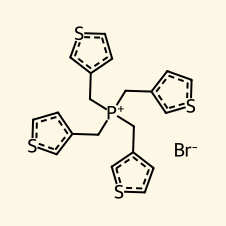 [Br-].c1cc(C[P+](Cc2ccsc2)(Cc2ccsc2)Cc2ccsc2)cs1